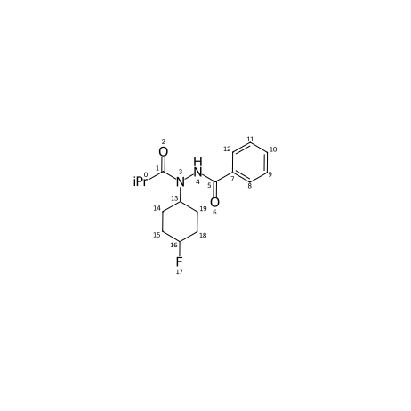 CC(C)C(=O)N(NC(=O)c1ccccc1)C1CCC(F)CC1